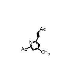 CC(=O)C#Cc1cc(C)cc(C(C)=O)n1